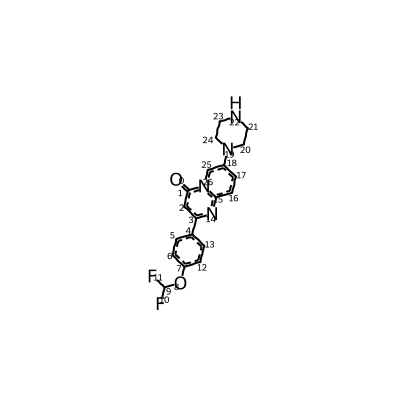 O=c1cc(-c2ccc(OC(F)F)cc2)nc2ccc(N3CCNCC3)cn12